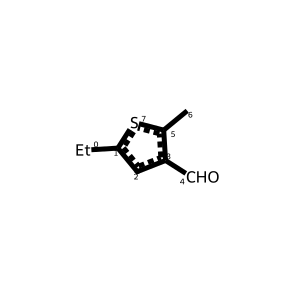 CCc1cc(C=O)c(C)s1